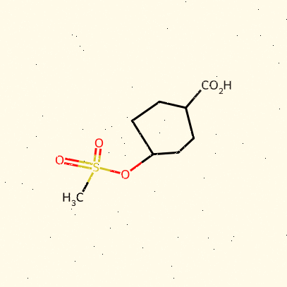 CS(=O)(=O)OC1CCC(C(=O)O)CC1